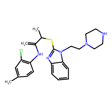 C=C(Nc1ccc(C)cc1Cl)C(C)Sc1nc2ccccc2n1CCN1CCNCC1